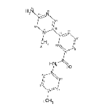 Cc1ccc(NC(=O)c2cccc(C3=CN=C(N)CN3C)c2)cc1